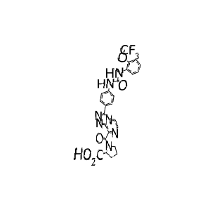 O=C(Nc1ccc(-c2nnc3c(C(=O)N4CCC[C@H]4C(=O)O)nccn23)cc1)Nc1ccccc1OC(F)(F)F